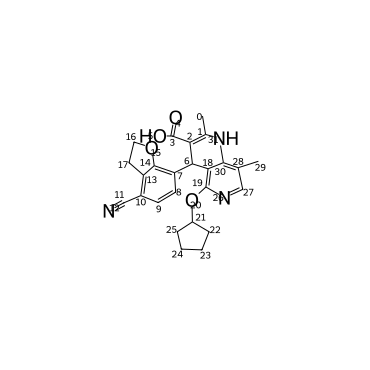 CC1=C(C(=O)O)C(c2ccc(C#N)c3c2OCC3)c2c(OC3CCCC3)ncc(C)c2N1